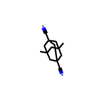 [CH2]C12CC3(C)CC(C#N)(C1)CC(C#N)(C2)C3